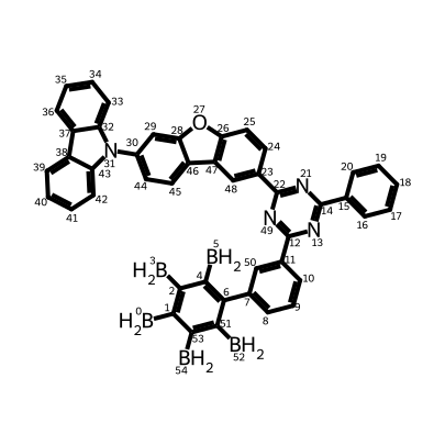 Bc1c(B)c(B)c(-c2cccc(-c3nc(-c4ccccc4)nc(-c4ccc5oc6cc(-n7c8ccccc8c8ccccc87)ccc6c5c4)n3)c2)c(B)c1B